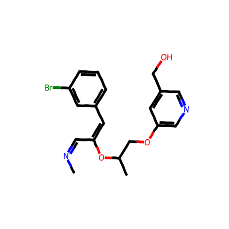 C/N=C\C(=C/c1cccc(Br)c1)OC(C)COc1cncc(CO)c1